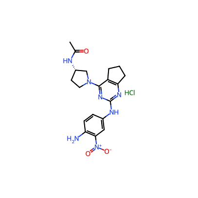 CC(=O)N[C@H]1CCN(c2nc(Nc3ccc(N)c([N+](=O)[O-])c3)nc3c2CCC3)C1.Cl